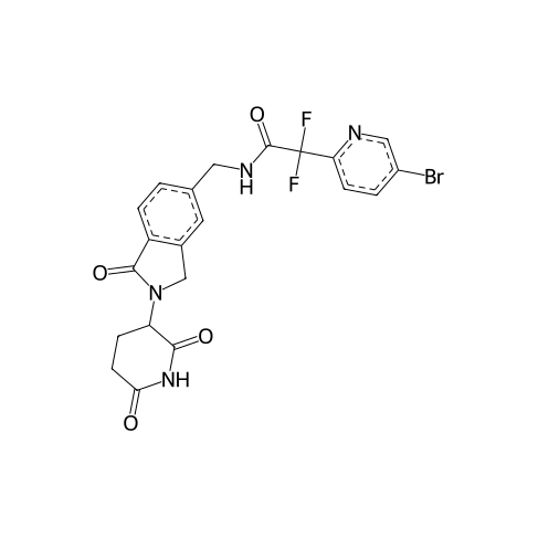 O=C1CCC(N2Cc3cc(CNC(=O)C(F)(F)c4ccc(Br)cn4)ccc3C2=O)C(=O)N1